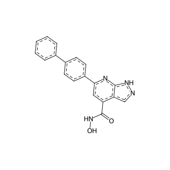 O=C(NO)c1cc(-c2ccc(-c3ccccc3)cc2)nc2[nH]ncc12